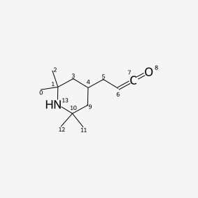 CC1(C)CC(CC=C=O)CC(C)(C)N1